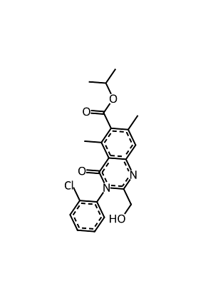 Cc1cc2nc(CO)n(-c3ccccc3Cl)c(=O)c2c(C)c1C(=O)OC(C)C